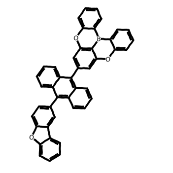 c1ccc2c(c1)Oc1cc(-c3c4ccccc4c(-c4ccc5oc6ccccc6c5c4)c4ccccc34)cc3c1B2c1ccccc1O3